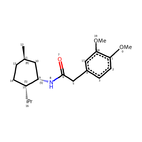 COc1ccc(CC(=O)N[C@H]2C[C@H](C)CC[C@H]2C(C)C)cc1OC